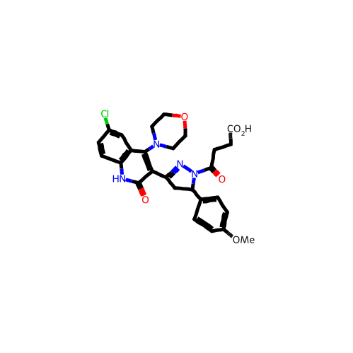 COc1ccc(C2CC(c3c(N4CCOCC4)c4cc(Cl)ccc4[nH]c3=O)=NN2C(=O)CCC(=O)O)cc1